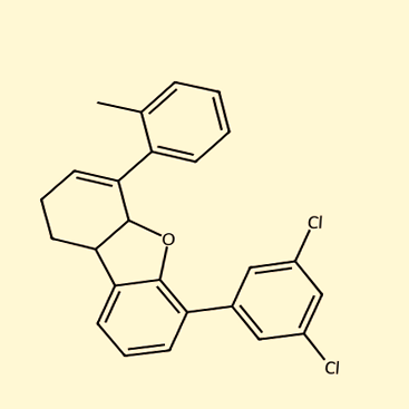 Cc1ccccc1C1=CCCC2c3cccc(-c4cc(Cl)cc(Cl)c4)c3OC12